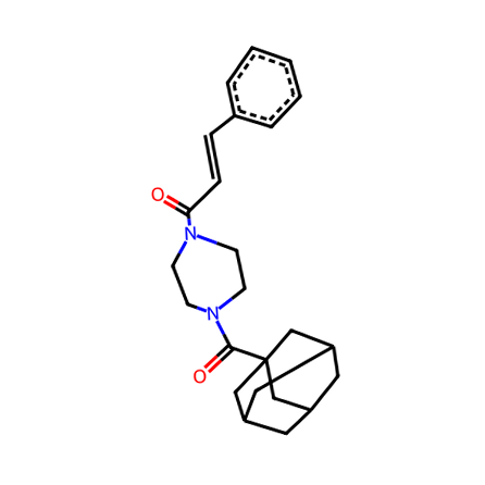 O=C(C=Cc1ccccc1)N1CCN(C(=O)C23CC4CC(CC(C4)C2)C3)CC1